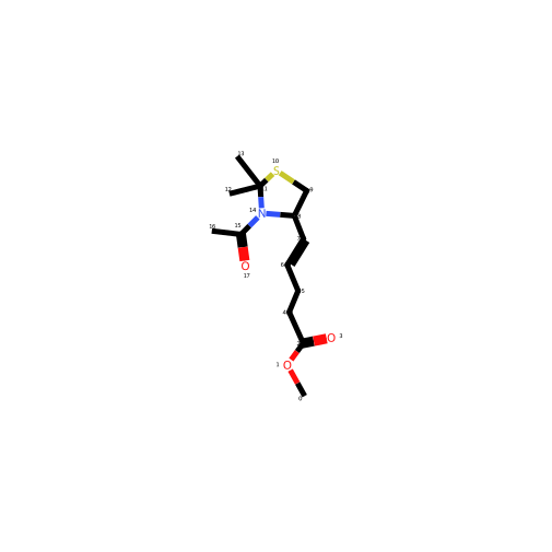 COC(=O)CC/C=C/C1CSC(C)(C)N1C(C)=O